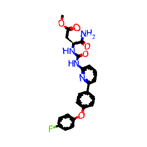 COC(=O)C[C@H](NC(=O)Nc1cccc(-c2ccc(Oc3ccc(F)cc3)cc2)n1)C(N)=O